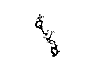 Cc1ccccc1CN1CCc2c(sc(NC(=O)CC3=CCC(S(C)(=O)=O)C=C3)c2C#N)C1